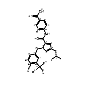 CC(C)Cc1cc(C(=O)Nc2ccc(C(=O)O)cn2)n(Cc2ccc(F)c(C(F)(F)F)c2)c1